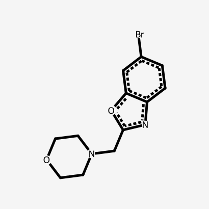 Brc1ccc2nc(CN3CCOCC3)oc2c1